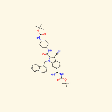 CC(C)(C)OC(=O)NC(=N)c1ccc2c(C#N)c(C(=O)N[C@H]3CC[C@H](NC(=O)OC(C)(C)C)CC3)n(Cc3cccc4ccccc34)c2c1